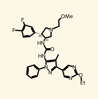 CCOc1ncc(-c2nn(-c3ccccc3)c(NC(=O)N[C@@H]3CN(CCOC)C[C@H]3c3ccc(F)c(F)c3)c2C)cn1